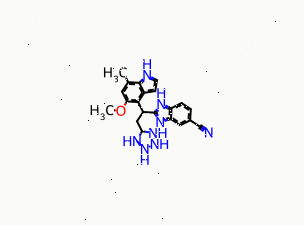 COc1cc(C)c2[nH]ccc2c1C(CC1NNNN1)c1nc2cc(C#N)ccc2[nH]1